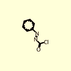 O=C(Cl)/N=N/c1ccccc1